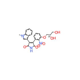 Cn1cc(C2=C(c3cccc(OC[C@@H](O)CO)c3[N+](=O)[O-])C(=O)NC2=O)c2ccccc21